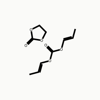 CC=COC(=O)OC=CC.O=C1OCCO1